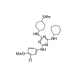 COc1ccc(Nc2nc(NC3CCCCCC3)nc(NC3CCC(SC)CC3)n2)cc1Cl